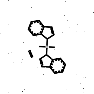 C=C.[CH3][Hf]([CH3])([CH]1C=Cc2ccccc21)[CH]1C=Cc2ccccc21